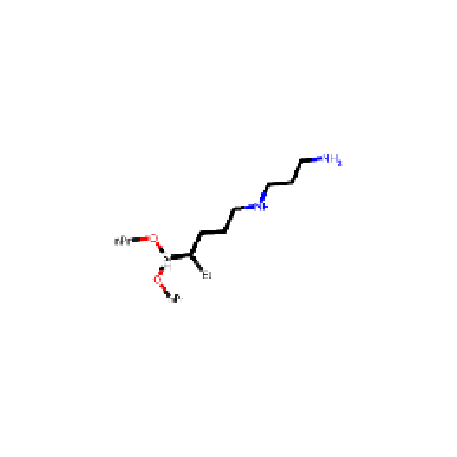 CCCO[SiH](OCCC)C(CC)CCCNCCCN